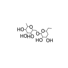 CCC1C[C@H](O)C(O)[C@@H](OCC2OC(C)C(O)[C@@H](O)[C@@H]2O)O1